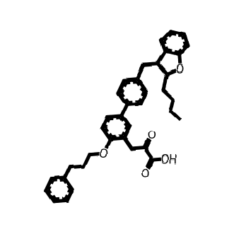 CCCCC1Oc2ccccc2C1Cc1ccc(-c2ccc(OCCCc3ccccc3)c(CC(=O)C(=O)O)c2)cc1